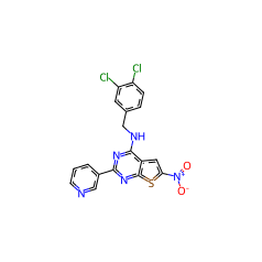 O=[N+]([O-])c1cc2c(NCc3ccc(Cl)c(Cl)c3)nc(-c3cccnc3)nc2s1